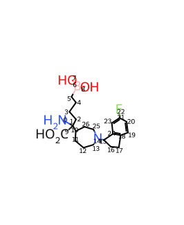 NC(CCCCB(O)O)(C(=O)O)C1CCCN(C2CCc3ccc(F)cc32)CC1